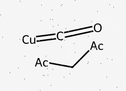 CC(=O)CC(C)=O.O=[C]=[Cu]